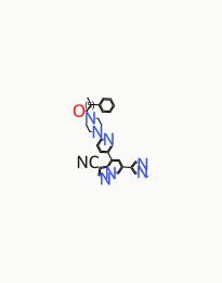 C[C@H](C(=O)N1CCN(c2ccc(-c3cc(-c4cnn(C)c4)cn4ncc(C#N)c34)cn2)CC1)c1ccccc1